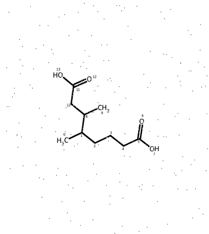 CC(CCCC(=O)O)C(C)CC(=O)O